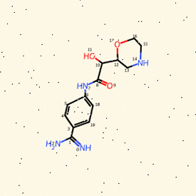 N=C(N)c1ccc(NC(=O)C(O)C2CNCCO2)cc1